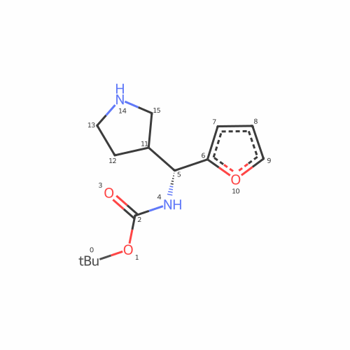 CC(C)(C)OC(=O)N[C@@H](c1ccco1)C1CCNC1